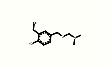 CN(C)COCc1ccc(O)c(CO)c1